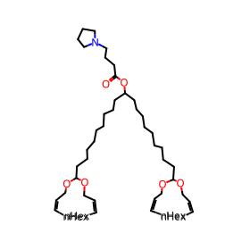 CCCCCC/C=C\COC(CCCCCCCCCC(CCCCCCCCCC(OC/C=C\CCCCCC)OC/C=C\CCCCCC)OC(=O)CCCN1CCCC1)OC/C=C\CCCCCC